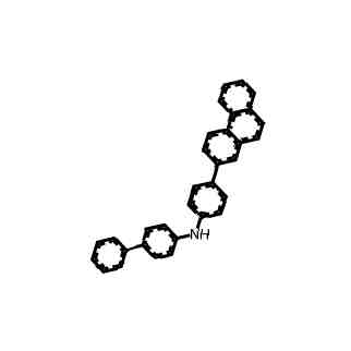 c1ccc(-c2ccc(Nc3ccc(-c4ccc5c(ccc6ccccc65)c4)cc3)cc2)cc1